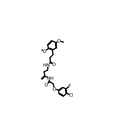 C=C(CCNC(=O)CCc1cc(OC)ccc1OC)NC(=O)COc1ccc(Cl)c(F)c1